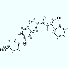 O=C(N[C@@H](CO)c1ccccc1)c1ccc2cnc(N[C@H]3CC[C@H](O)CC3)nc2c1